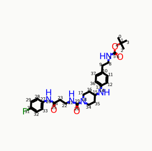 CC(C)(C)OC(=O)NCCc1ccc(NC2CCN(C(=O)NCCC(=O)Nc3ccc(F)cc3)CC2)cc1